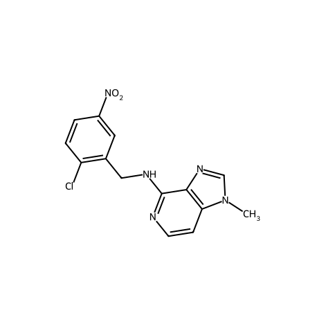 Cn1cnc2c(NCc3cc([N+](=O)[O-])ccc3Cl)nccc21